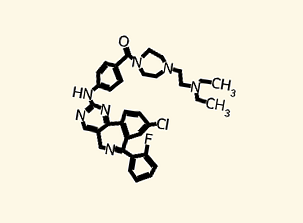 CCN(CC)CCN1CCN(C(=O)c2ccc(Nc3ncc4c(n3)-c3ccc(Cl)cc3C(c3ccccc3F)=NC4)cc2)CC1